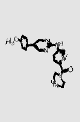 Cc1ccc(-c2cnc(Nc3ccc(C(=O)N4CCNCC4)nc3)nc2)cc1